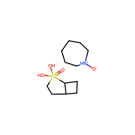 O=S1(O)(O)CCC2CCC21.[O-][NH+]1CCCCCC1